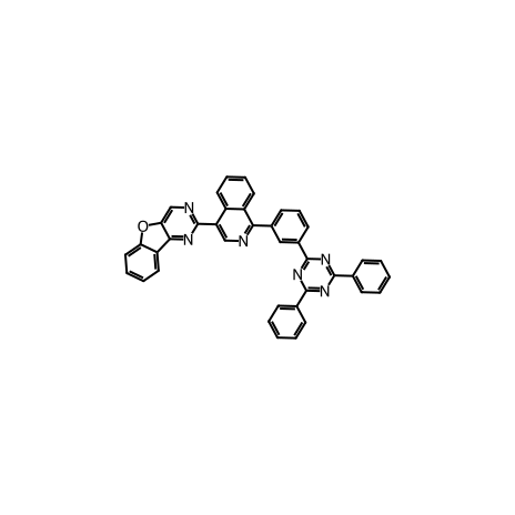 c1ccc(-c2nc(-c3ccccc3)nc(-c3cccc(-c4ncc(-c5ncc6oc7ccccc7c6n5)c5ccccc45)c3)n2)cc1